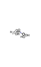 CC(O)C(=O)OC(=O)/C=C/c1ccc(O)c(O)c1